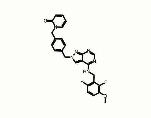 COc1ccc(F)c(CNc2ncnc3nn(Cc4ccc(Cn5ccccc5=O)cc4)cc23)c1F